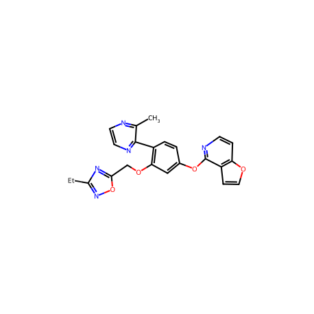 CCc1noc(COc2cc(Oc3nccc4occc34)ccc2-c2nccnc2C)n1